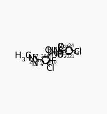 Cn1cnc(-c2cc(Cl)c(F)c(C(=O)NNS(=O)(=O)c3ccc(Cl)cc3)c2)c1